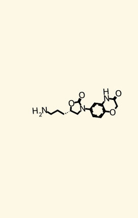 NCCC[C@H]1CN(c2ccc3c(c2)NC(=O)CO3)C(=O)O1